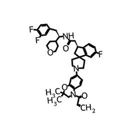 C=CC(=O)N1CC(C)(C)Oc2cc(N3CCC4(CC3)C[C@@H](CC(=O)N[C@H](Cc3ccc(F)c(F)c3)C3CCOCC3)c3ccc(F)cc34)ccc21